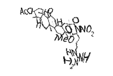 COC(=O)C(CCCNC(=N)N)N(C(=O)[C@@]1(C)CC[C@]2(C)CC[C@]3(C)C(=CC(=O)[C@@H]4[C@@]5(C)CC[C@H](OC(C)=O)C(C)(C)[C@@H]5CC[C@]43C)[C@@H]2C1)[N+](=O)[O-]